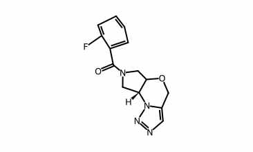 O=C(c1ccccc1F)N1CC2OCc3cnnn3[C@@H]2C1